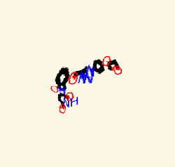 O=C1CCC(N2Cc3c(OCc4cn(-c5ccc(O[C@@H]6CCOC6)cc5)nn4)cccc3C2=O)C(=O)N1